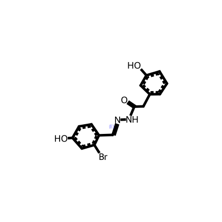 O=C(Cc1cccc(O)c1)N/N=C/c1ccc(O)cc1Br